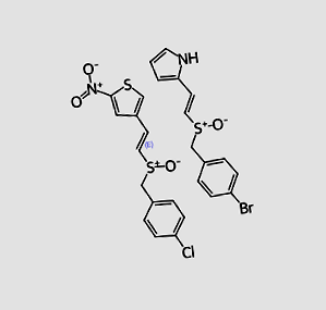 O=[N+]([O-])c1cc(/C=C/[S+]([O-])Cc2ccc(Cl)cc2)cs1.[O-][S+](C=Cc1ccc[nH]1)Cc1ccc(Br)cc1